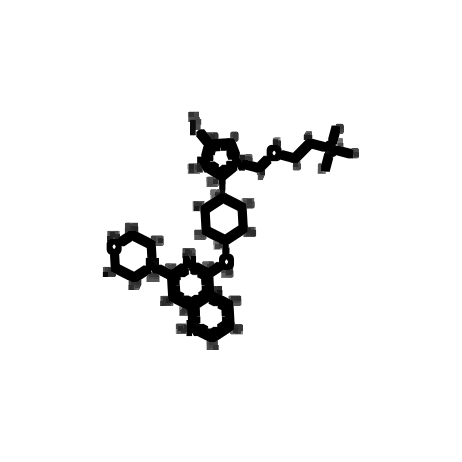 CS(C)(C)CCOCn1cc(F)nc1[C@H]1CC[C@@H](Oc2nc(N3CCOCC3)cc3ncccc23)CC1